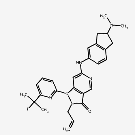 C=CCn1c(=O)c2cnc(Nc3ccc4c(c3)CC(N(C)C)C4)cc2n1-c1cccc(C(C)(C)F)n1